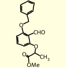 COC(=O)C(C)Oc1cccc(OCc2ccccc2)c1C=O